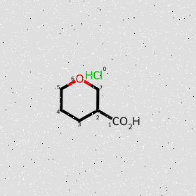 Cl.O=C(O)C1CCCOC1